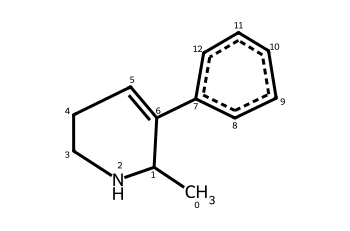 CC1NCCC=C1c1ccccc1